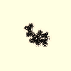 c1ccc(-n2c3ccccc3c3cc(C4c5ccccc5-c5cc(-c6cc(-c7ccc8c(c7)c7ccccc7n8-c7ccc8c(c7)c7ccccc7n8-c7ccccc7)cc(-n7c8ccccc8c8cc9c%10ccccc%10n(-c%10nccc(-c%11ccc%12sc%13ccccc%13c%12c%11)n%10)c9cc87)c6)ccc54)ccc32)cc1